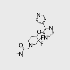 CN(C)C(=O)CN1CCC(Oc2nccnc2-c2ccncc2)C(F)(F)C1